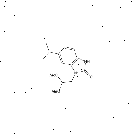 COC(Cn1c(=O)[nH]c2ccc(C(C)I)cc21)OC